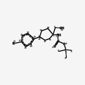 CC(C)(C)OC(=O)NC1(CO)CCN(c2ccc(Br)cn2)CC1